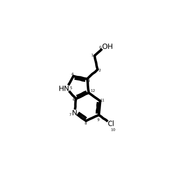 OCCc1c[nH]c2ncc(Cl)cc12